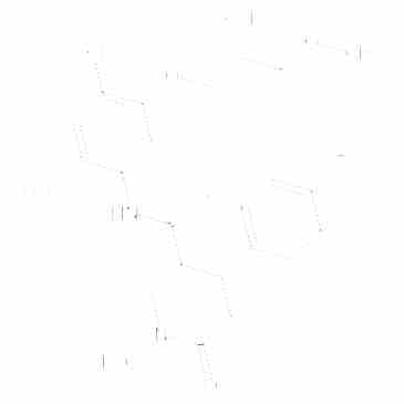 COC[C@@H](O)COc1cc(NC(=O)C2=CN(C)C(=O)C[C@H]2c2ccc(F)cc2)c(C)cc1Cl